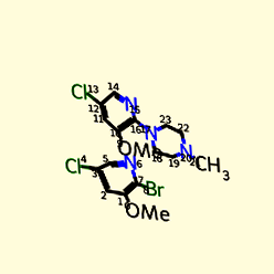 COc1cc(Cl)cnc1Br.COc1cc(Cl)cnc1N1CCN(C)CC1